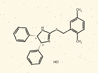 Cc1ccc(C)c(CSC2=N[C@H](c3ccccc3)[C@H](c3ccccc3)N2)c1.Cl